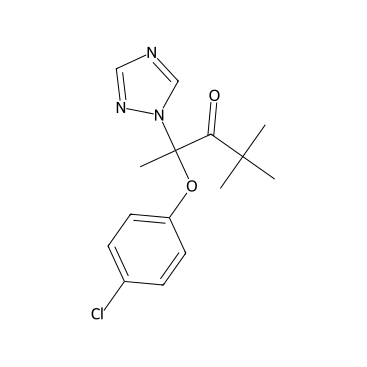 CC(C)(C)C(=O)C(C)(Oc1ccc(Cl)cc1)n1cncn1